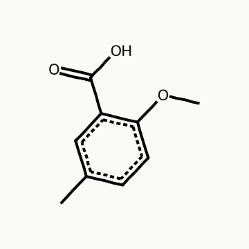 COc1ccc(C)cc1C(=O)O